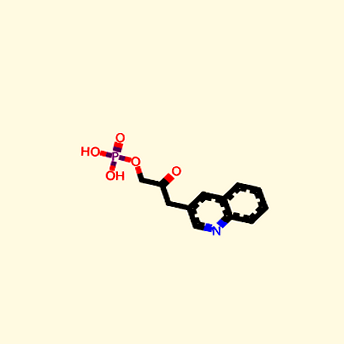 O=C(COP(=O)(O)O)Cc1cnc2ccccc2c1